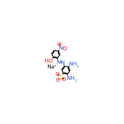 Nc1cc(N)c(S(=O)(=O)[O-])cc1N=Nc1cc([N+](=O)[O-])ccc1O.[Na+]